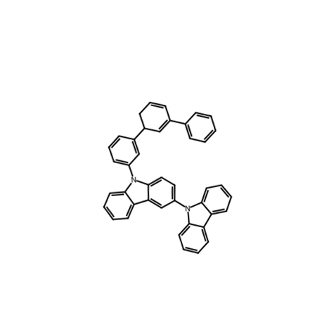 C1=CC(c2ccccc2)=CC(c2cccc(-n3c4ccccc4c4cc(-n5c6ccccc6c6ccccc65)ccc43)c2)C1